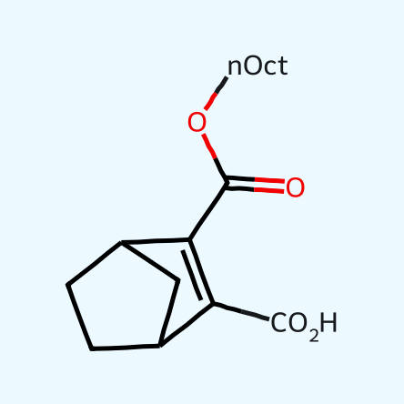 CCCCCCCCOC(=O)C1=C(C(=O)O)C2CCC1C2